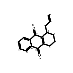 C=CCC1CCCC2=C1C(=O)c1ccccc1C2=O